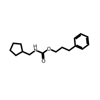 O=C(NCC1CCCC1)OCCCc1ccccc1